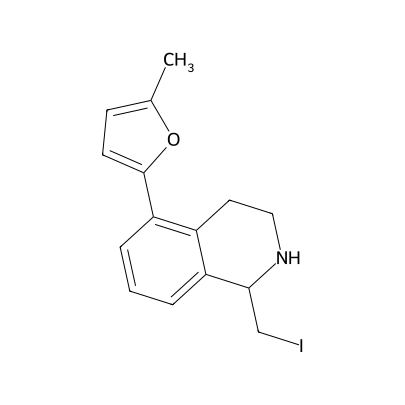 Cc1ccc(-c2cccc3c2CCNC3CI)o1